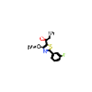 COc1nc(-c2cccc(F)c2)sc1C(=O)CC(C)C